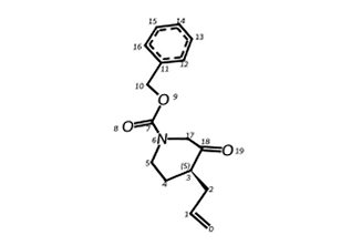 C=CC[C@H]1CCN(C(=O)OCc2ccccc2)CC1=O